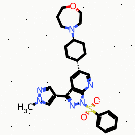 Cn1cc(-c2nn(S(=O)(=O)c3ccccc3)c3ncc([C@H]4CC[C@H](N5CCCOCC5)CC4)cc23)cn1